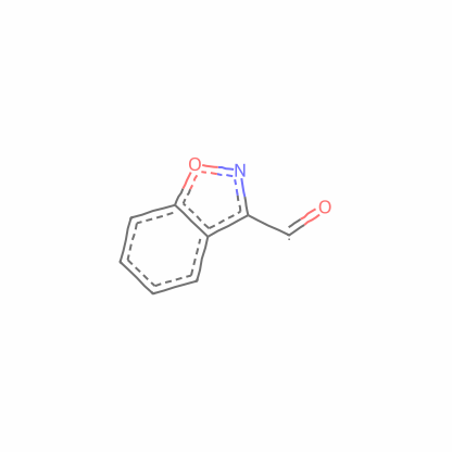 O=[C]c1noc2ccccc12